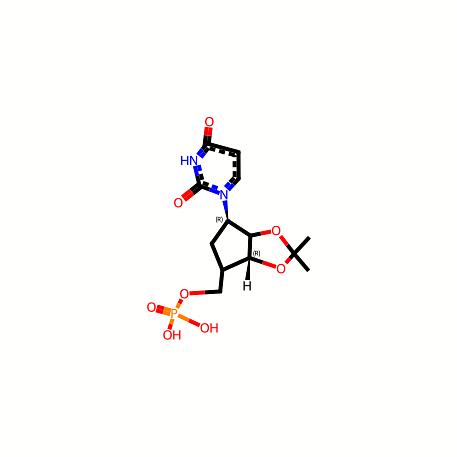 CC1(C)OC2[C@H](O1)C(COP(=O)(O)O)C[C@H]2n1ccc(=O)[nH]c1=O